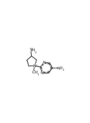 C[N+]1(c2ncc([N+](=O)[O-])cn2)CCC(N)C1